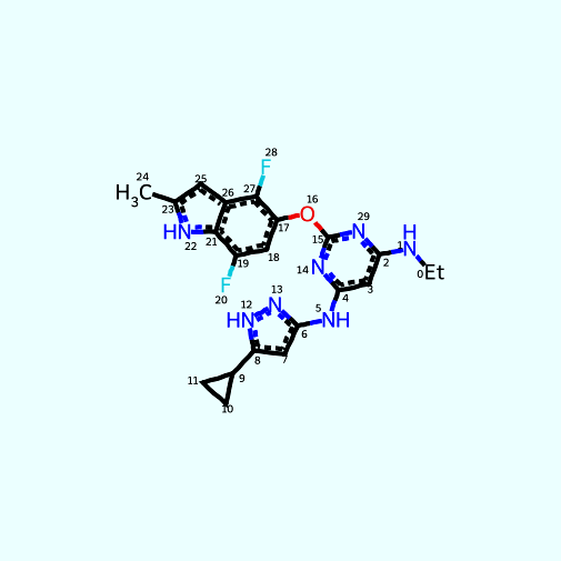 CCNc1cc(Nc2cc(C3CC3)[nH]n2)nc(Oc2cc(F)c3[nH]c(C)cc3c2F)n1